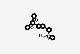 Cc1nc2ccccc2n1-c1cccc(-c2ccc3cc(-c4c5oc6ccccc6c5cc5c4oc4ccccc45)ccc3c2)c1